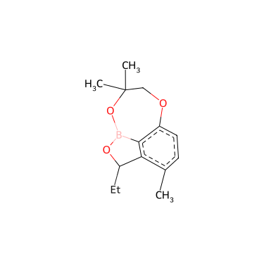 CCC1OB2OC(C)(C)COc3ccc(C)c1c32